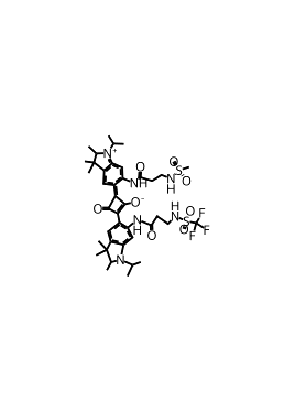 CC(C)N1c2cc(NC(=O)CCNS(=O)(=O)C(F)(F)F)c(C3=C([O-])/C(=c4/cc5c(cc4NC(=O)CCNS(C)(=O)=O)=[N+](C(C)C)C(C)C5(C)C)C3=O)cc2C(C)(C)C1C